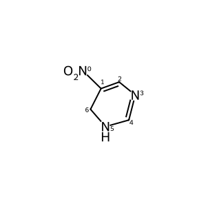 O=[N+]([O-])C1=CN=CNC1